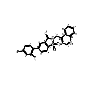 O=C1c2cc(-c3ccc(F)cc3F)ccc2S(=O)(=O)N1Cc1ccnc2ccccc12